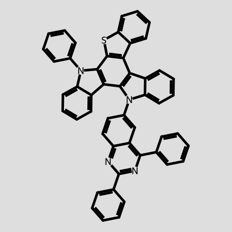 c1ccc(-c2nc(-c3ccccc3)c3cc(-n4c5ccccc5c5c6c7ccccc7sc6c6c(c7ccccc7n6-c6ccccc6)c54)ccc3n2)cc1